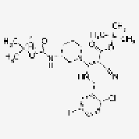 CC(C)(C)OC(=O)N[C@@H]1CCCN(/C(NCc2cc(F)ccc2Cl)=C(/C#N)C(=O)OC(C)(C)C)C1